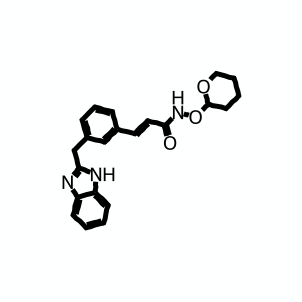 O=C(/C=C/c1cccc(Cc2nc3ccccc3[nH]2)c1)NOC1CCCCO1